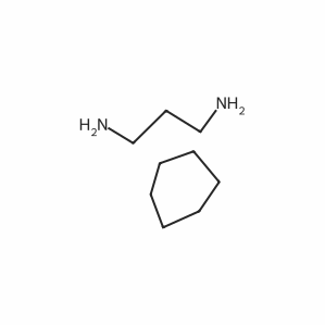 C1CCCCC1.NCCCN